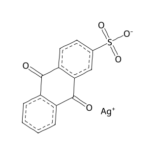 O=C1c2ccccc2C(=O)c2cc(S(=O)(=O)[O-])ccc21.[Ag+]